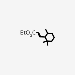 CCOC(=O)C=CC1C(C)CCCC1(C)C